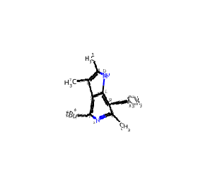 Cc1nc(C(C)(C)C)c2c(C)c(C)[nH]c2c1C